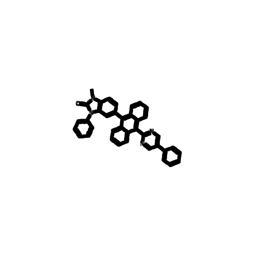 Cn1c(=O)n(-c2ccccc2)c2cc(-c3c4ccccc4c(-c4ncc(-c5ccccc5)cn4)c4ccccc34)ccc21